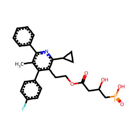 Cc1c(-c2ccccc2)nc(C2CC2)c(CCOC(=O)CC(O)C[PH](=O)O)c1-c1ccc(F)cc1